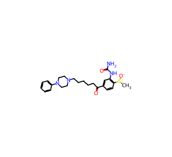 C[S+]([O-])c1ccc(C(=O)CCCCCN2CCN(c3ccccc3)CC2)cc1NC(N)=O